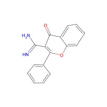 N=C(N)c1c(-c2ccccc2)oc2ccccc2c1=O